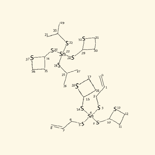 C=CC[S][Sn]([S]CC=C)([S]C1CCS1)[S]C1CCS1.CC(C)[S][Sn]([S]C(C)C)([S]C1CCS1)[S]C1CCS1